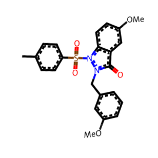 COc1cccc(Cn2c(=O)c3cc(OC)ccc3n2S(=O)(=O)c2ccc(C)cc2)c1